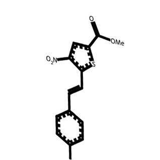 COC(=O)c1cc([N+](=O)[O-])c(C=Cc2ccc(Cl)cc2)s1